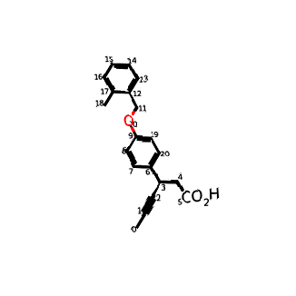 CC#C[C@H](CC(=O)O)c1ccc(OCc2ccccc2C)cc1